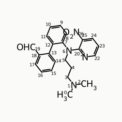 CN(C)CCCN(c1ccccc1-c1ccccc1C=O)c1ncccc1[N+](=O)[O-]